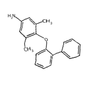 Cc1cc(N)cc(C)c1Oc1ccccc1-c1ccccc1